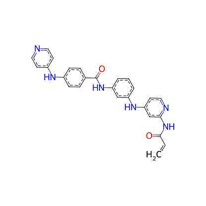 C=CC(=O)Nc1cc(Nc2cccc(NC(=O)c3ccc(Nc4ccncc4)cc3)c2)ccn1